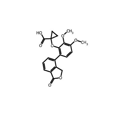 COc1ccc(-c2cccc3c2COC3=O)c(OC2(C(=O)O)CC2)c1OC